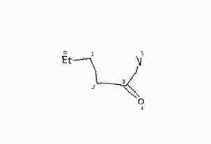 CCCC[C](=O)[V]